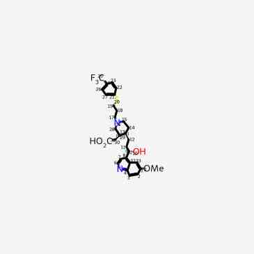 COc1ccc2nccc([C@@H](O)CC[C@@H]3CCN(CCCSc4ccc(C(F)(F)F)cc4)C[C@@H]3CC(=O)O)c2c1